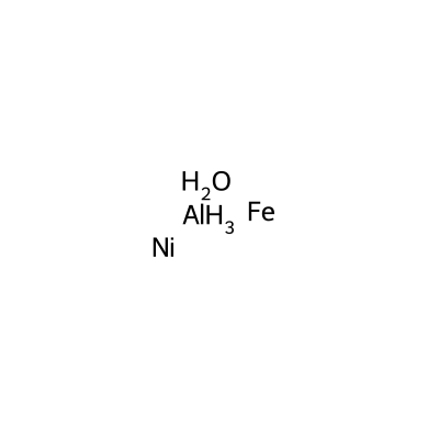 O.[AlH3].[Fe].[Ni]